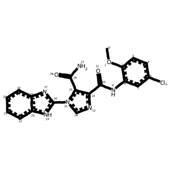 COc1ccc(Cl)cc1NC(=O)c1ncn(-c2nc3ccccc3[nH]2)c1C(N)=O